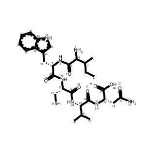 CCC(C)C(N)C(=O)N[C@@H](Cc1c[nH]c2ccccc12)C(=O)N[C@@H](CS)C(=O)N[C@H](C(=O)N[C@@H](CC(N)=O)C(=O)O)C(C)C